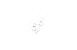 CCC(O)CNc1ncc(C#N)c(-c2c[nH]c3ncc(C(F)(F)F)cc23)n1